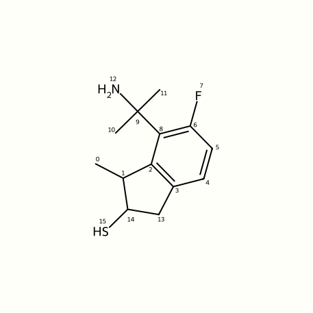 CC1c2c(ccc(F)c2C(C)(C)N)CC1S